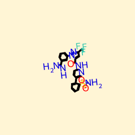 N=C(N)c1cccc(-n2nc(C(F)(F)F)cc2C(=O)Nc2ccc(-c3ccccc3S(N)(=O)=O)cn2)c1